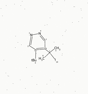 CC(C)(C)c1cnncc1C(C)(C)I